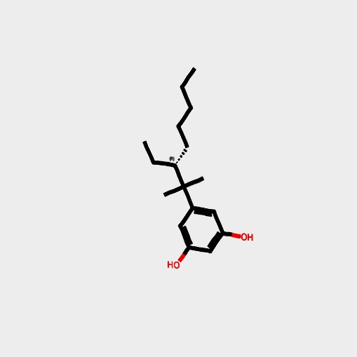 CCCCC[C@@H](CC)C(C)(C)c1cc(O)cc(O)c1